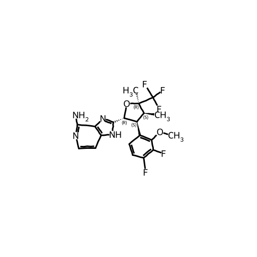 COc1c([C@H]2[C@H](c3nc4c(N)nccc4[nH]3)O[C@@](C)(C(F)(F)F)[C@H]2C)ccc(F)c1F